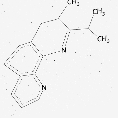 CC(C)C1=Nc2c(ccc3cccnc23)CC1C